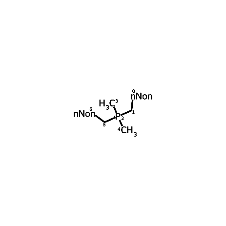 CCCCCCCCCC[P](C)(C)CCCCCCCCCC